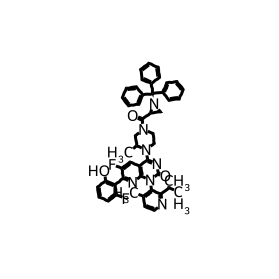 Cc1ccnc(C(C)C)c1-n1c(=O)nc(N2CCN(C(=O)C3C[N@@]3C(c3ccccc3)(c3ccccc3)c3ccccc3)CC2C)c2cc(F)c(-c3c(O)cccc3F)nc21